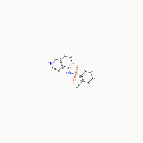 O=S(=O)(NC1CCCc2cnccc21)C1=C(F)CCCC1